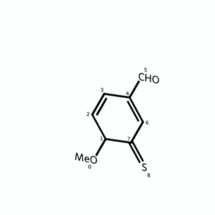 COC1C=CC(C=O)=CC1=S